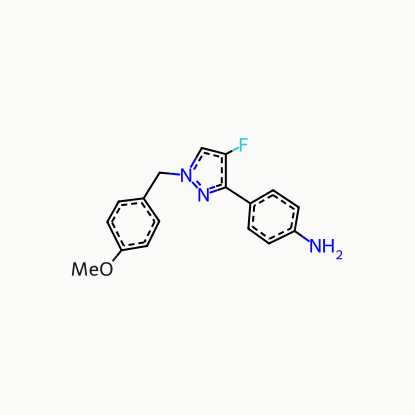 COc1ccc(Cn2cc(F)c(-c3ccc(N)cc3)n2)cc1